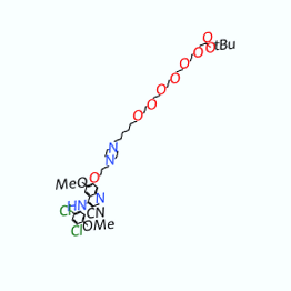 COc1cc(Nc2c(C#N)cnc3cc(OCCCN4CCN(CCCCCCOCCOCCOCCOCCOCCOCC(=O)OC(C)(C)C)CC4)c(OC)cc23)c(Cl)cc1Cl